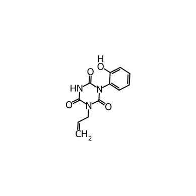 C=CCn1c(=O)[nH]c(=O)n(-c2ccccc2O)c1=O